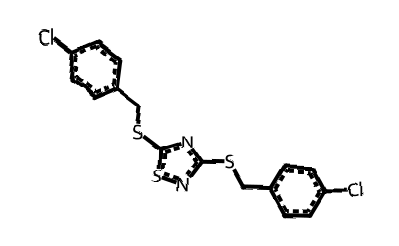 Clc1ccc(CSc2nsc(SCc3ccc(Cl)cc3)n2)cc1